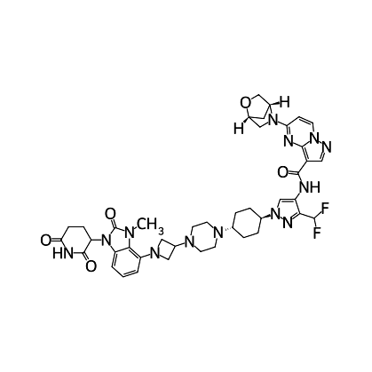 Cn1c(=O)n(C2CCC(=O)NC2=O)c2cccc(N3CC(N4CCN([C@H]5CC[C@H](n6cc(NC(=O)c7cnn8ccc(N9C[C@H]%10C[C@@H]9CO%10)nc78)c(C(F)F)n6)CC5)CC4)C3)c21